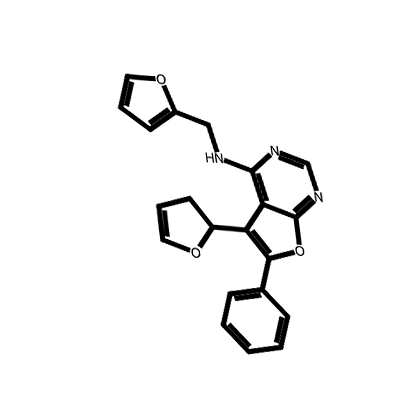 C1=COC(c2c(-c3ccccc3)oc3ncnc(NCc4ccco4)c23)C1